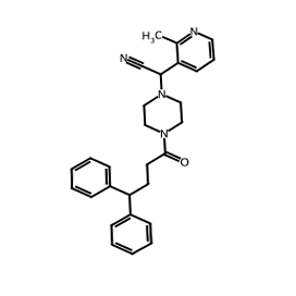 Cc1ncccc1C(C#N)N1CCN(C(=O)CCC(c2ccccc2)c2ccccc2)CC1